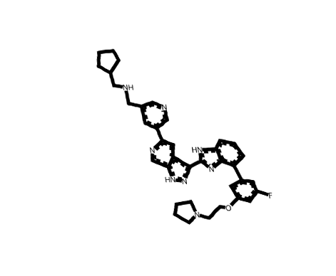 Fc1cc(OCCN2CCCC2)cc(-c2cccc3[nH]c(-c4n[nH]c5cnc(-c6cncc(CNCC7CCCC7)c6)cc45)nc23)c1